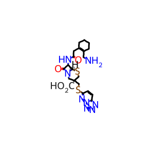 NCC1=C(CC(=O)NC2C(=O)N3CC(CSc4ccc5nnnn5n4)(C(=O)O)CS[C@H]23)CCCC1